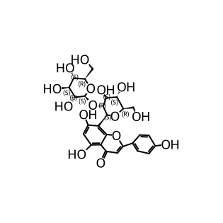 O=c1cc(-c2ccc(O)cc2)oc2c([C@@H]3O[C@H](CO)[C@@H](O)[C@H](O)[C@H]3O[C@@H]3O[C@H](CO)[C@@H](O)[C@H](O)[C@H]3O)c(O)cc(O)c12